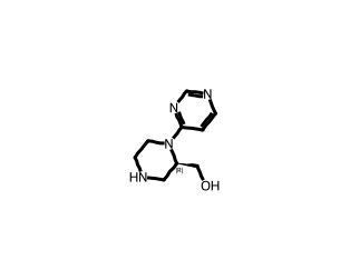 OC[C@H]1CNCCN1c1ccncn1